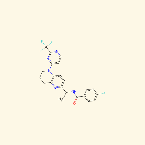 CC(NC(=O)c1ccc(F)cc1)c1ccc2c(n1)CCCN2c1ccnc(C(F)(F)F)n1